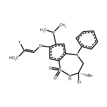 CCCC[C@@]1(CC)CN(c2ccccc2)c2cc(N(C)C)c(O/C=C(\F)C(=O)O)cc2S(=O)(=O)N1